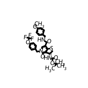 COc1ccc(CNC(=O)c2cn(Cc3ccc(OC(F)(F)F)cc3)c(=O)c3c2SC[C@@H]3NC(=O)OC(C)(C)C)cc1